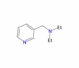 CCN(CC)Cc1[c]nccc1